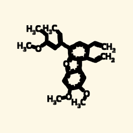 C=Cc1cc(C(/C=C(\CC)OC)=C/C)c2oc3cc(OC)c(OC)cc3c2c1C=C